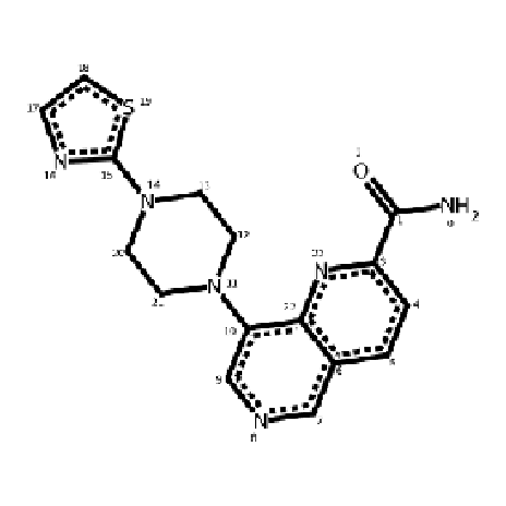 NC(=O)c1ccc2cncc(N3CCN(c4nccs4)CC3)c2n1